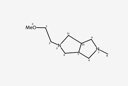 COCCN1CC2CN(C)CC2C1